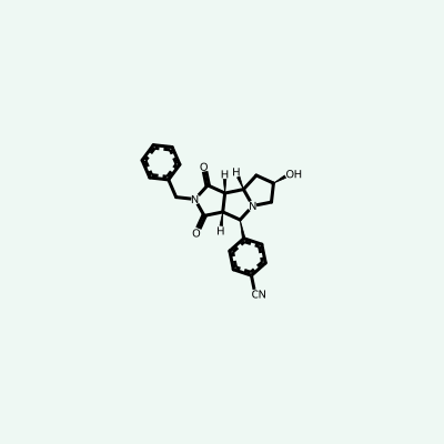 N#Cc1ccc([C@H]2[C@@H]3C(=O)N(Cc4ccccc4)C(=O)[C@@H]3[C@@H]3C[C@@H](O)CN32)cc1